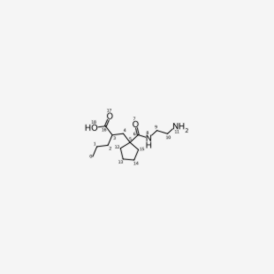 CCCC(CC1(C(=O)NCCN)CCCC1)C(=O)O